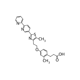 Cc1cc(OCCc2nc(-c3ccc(-c4ccccn4)nc3)sc2C)ccc1CCC(=O)O